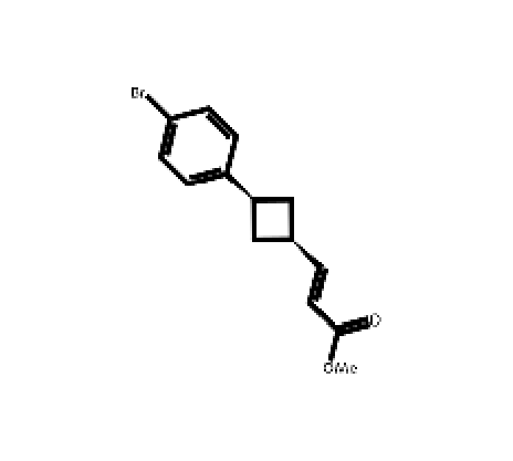 COC(=O)/C=C/[C@H]1C[C@@H](c2ccc(Br)cc2)C1